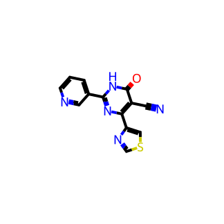 N#Cc1c(-c2cscn2)nc(-c2cccnc2)[nH]c1=O